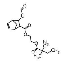 CCC(C)(C)C(=O)OCCOC(=O)C1C2C=CC(C2)C1OC=O